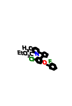 CCOC(=O)c1nc(C2=C(c3cc(Cl)ccc3OCc3ccccc3F)CCC2)ccc1C